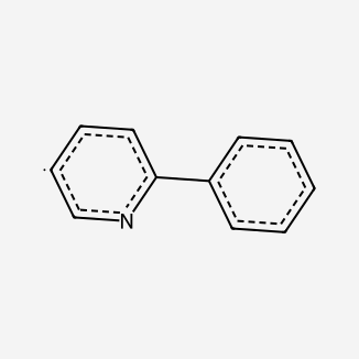 [c]1ccc(-c2ccccc2)nc1